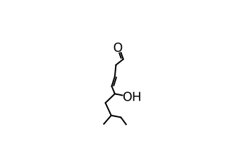 CCC(C)CC(O)/C=C/CC=O